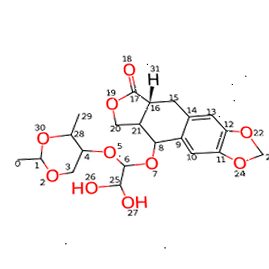 CC1OCC(OC(OC2c3cc4c(cc3C[C@H]3C(=O)OCC23)OCO4)C(O)O)C(C)O1